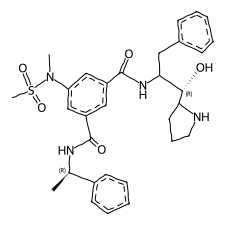 C[C@@H](NC(=O)c1cc(C(=O)NC(Cc2ccccc2)[C@H](O)C2CCCN2)cc(N(C)S(C)(=O)=O)c1)c1ccccc1